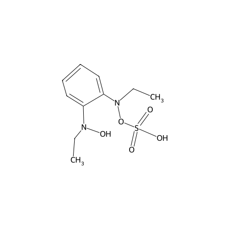 CCN(O)c1ccccc1N(CC)OS(=O)(=O)O